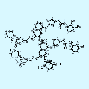 COc1cc2c(Nc3ncc(CC(=O)Nc4cccc(F)c4F)s3)ncnc2cc1OCCCOP(=O)(OC)OC1CCNCC1.COc1cc2c(Nc3ncc(CC(=O)Nc4cccc(F)c4F)s3)ncnc2cc1OCCCOP(=O)(OC)OC1CCNCC1.Oc1ccc(O)cc1